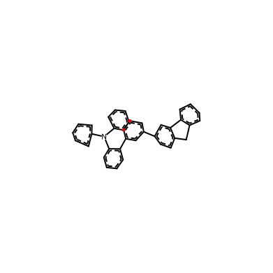 c1ccc(N(c2ccccc2)c2ccccc2-c2cccc(-c3ccc4c(c3)-c3ccccc3C4)c2)cc1